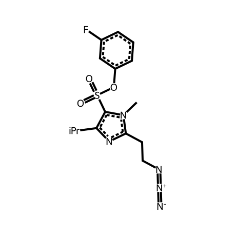 CC(C)c1nc(CCN=[N+]=[N-])n(C)c1S(=O)(=O)Oc1cccc(F)c1